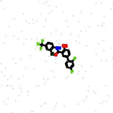 O=C(Nc1ccc(C(F)(F)F)cc1Cl)c1cc(-c2ccc(F)cc2F)ccc1O